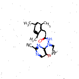 Cc1cc(C)c(CC(=O)NN(CC(C)C)c2nc(C#N)ncc2Br)c(C)c1